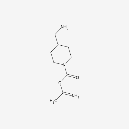 C=C(C)OC(=O)N1CCC(CN)CC1